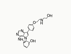 Nc1ncnc2c(-c3ccc(OCCNCCO)cc3)cn(-c3ccccc3O)c12